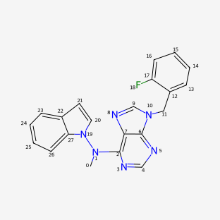 CN(c1ncnc2c1ncn2Cc1ccccc1F)n1ccc2ccccc21